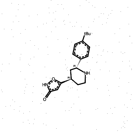 CC(C)(C)c1ccc([C@H]2C[C@H](c3cc(=O)[nH]o3)CCN2)cc1